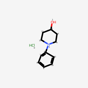 Cl.OC1CCN(c2ccccc2)CC1